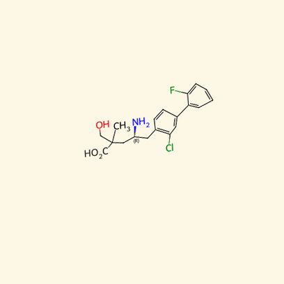 CC(CO)(C[C@@H](N)Cc1ccc(-c2ccccc2F)cc1Cl)C(=O)O